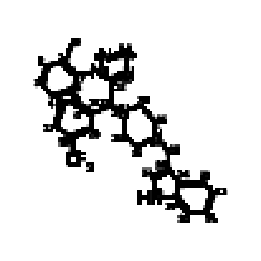 Cc1cccc(C)c1-n1nnnc1C(c1cccc(C(F)(F)F)c1)N1CCN(Cc2c[nH]c3ccccc23)CC1